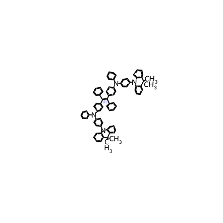 CC1(C)c2ccccc2N(c2ccc(N(c3ccccc3)c3ccc(/C(=C(\c4ccccc4)c4ccc(N(c5ccccc5)c5ccc(N6c7ccccc7C(C)(C)c7ccccc76)cc5)cc4)c4ccccc4)cc3)cc2)c2ccccc21